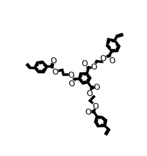 C=Cc1ccc(C(=O)OCCOC(=O)c2cc(C(=O)OCCOC(=O)c3ccc(C=C)cc3)cc(C(=O)OCCOC(=O)c3ccc(C=C)cc3)c2)cc1